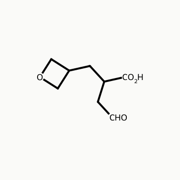 O=CCC(CC1COC1)C(=O)O